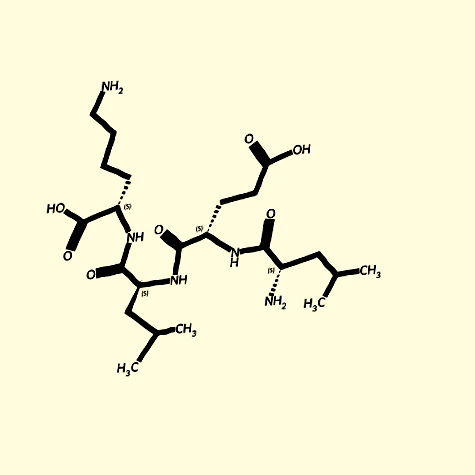 CC(C)C[C@H](NC(=O)[C@H](CCC(=O)O)NC(=O)[C@@H](N)CC(C)C)C(=O)N[C@@H](CCCCN)C(=O)O